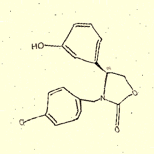 O=C1OC[C@H](c2cccc(O)c2)N1c1ccc(Cl)cc1